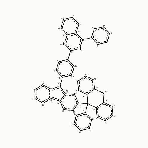 c1ccc(-c2nc(-c3ccc(-n4c5ccccc5c5ccc(C6(c7ccccc7)c7ccccc7Sc7ccccc76)cc54)cc3)nc3ccccc23)cc1